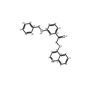 O=C(CSc1ccnc2ccccc12)c1cccc(OCc2ccccc2)c1